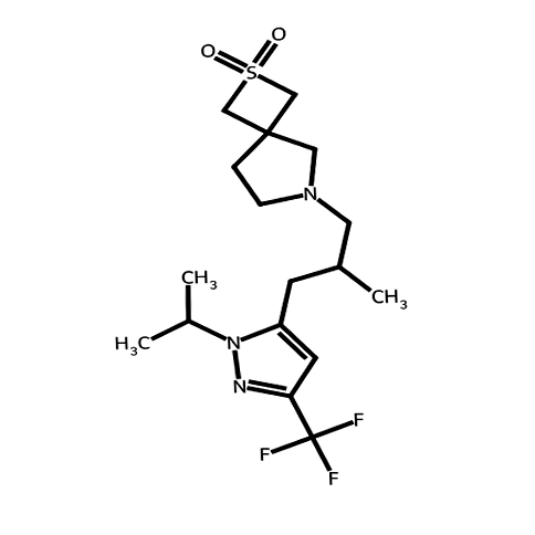 CC(Cc1cc(C(F)(F)F)nn1C(C)C)CN1CCC2(C1)CS(=O)(=O)C2